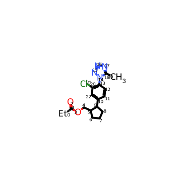 CCC(=O)OCC1CCCC1c1ccc(-n2nnnc2C)c(Cl)c1